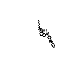 CCCCCCOC(=O)CC1CCc2ccc(C(=O)c3ccc(C=NN4CCOCC4)cc3)cc2C1N